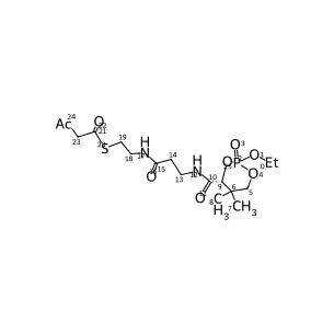 CCOP1(=O)OCC(C)(C)[C@H](C(=O)NCCC(=O)NCCSC(=O)CC(C)=O)O1